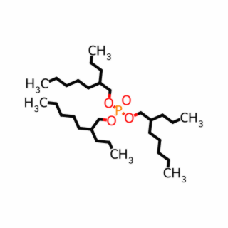 CCCCCC(CCC)COP(=O)(OCC(CCC)CCCCC)OCC(CCC)CCCCC